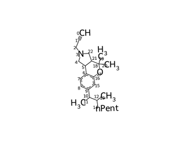 C#CCN1CC2c3ccc(C(C)C(C)CCCCC)cc3OC(C)(C)C2C1